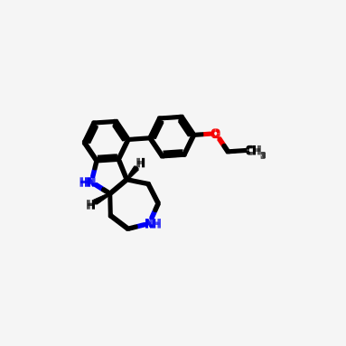 CCOc1ccc(-c2cccc3c2[C@@H]2CCNCC[C@@H]2N3)cc1